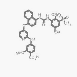 COc1cc(Nc2cc(Oc3ccc(NC(=O)Nc4cc(C(C)(C)C)cc(P(C)(C)=O)c4OC)c4ccccc34)ccn2)ccc1C(=O)O